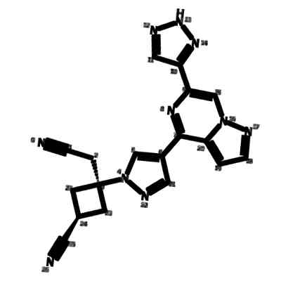 N#CC[C@]1(n2cc(-c3nc(-c4cn[nH]n4)cn4nccc34)cn2)C[C@@H](C#N)C1